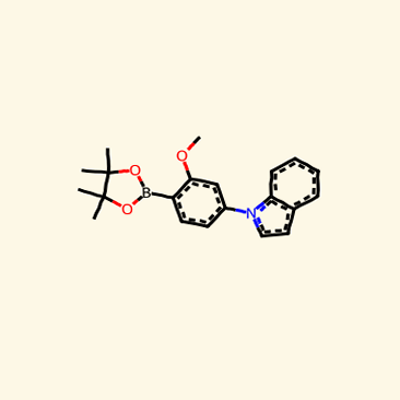 COc1cc(-n2ccc3ccccc32)ccc1B1OC(C)(C)C(C)(C)O1